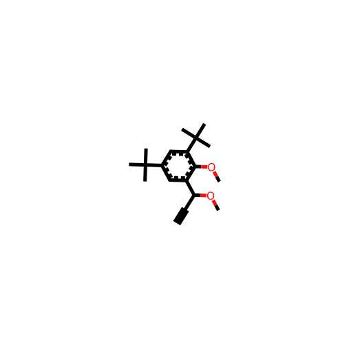 C#CC(OC)c1cc(C(C)(C)C)cc(C(C)(C)C)c1OC